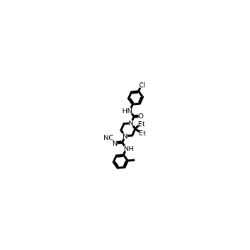 CCC1(CC)CN(/C(=N\C#N)Nc2ccccc2C)CCN1C(=O)Nc1ccc(Cl)cc1